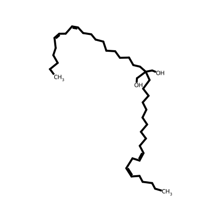 CCCCC/C=C\C/C=C\CCCCCCCCCCC(CO)(CO)CCCCCCCCCC/C=C\C/C=C\CCCCC